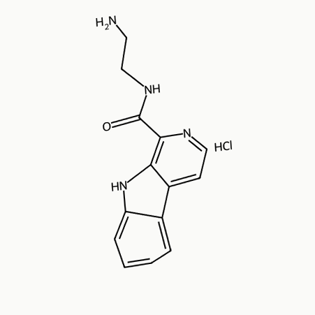 Cl.NCCNC(=O)c1nccc2c1[nH]c1ccccc12